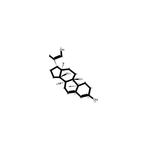 CC(=CO)[C@H]1CC[C@H]2[C@@H]3CC=C4C=C(O)CC[C@]4(C)[C@H]3CC[C@]12C